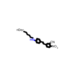 CCCCCCCCCCCCCCCCNc1ccc(C=Cc2ccc([N+](=O)[O-])c(C#N)c2)cc1